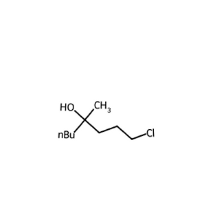 CCCCC(C)(O)CCCCl